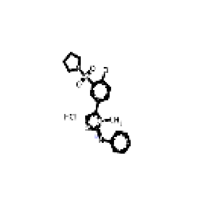 Cl.Cn1c(-c2ccc(Cl)c(S(=O)(=O)N3CCCC3)c2)cs/c1=N/c1ccccc1